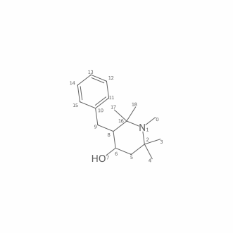 CN1C(C)(C)CC(O)C(Cc2ccccc2)C1(C)C